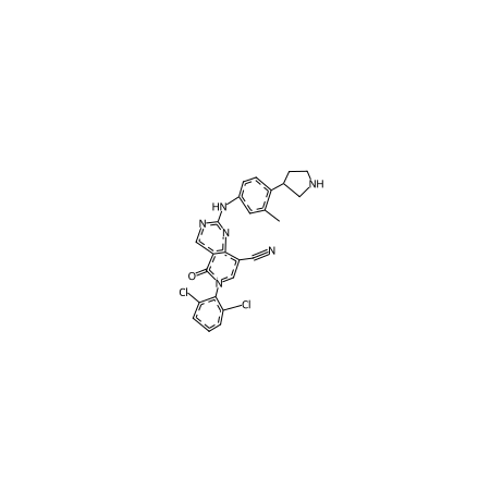 Cc1cc(Nc2ncc3c(=O)n(-c4c(Cl)cccc4Cl)cc(C#N)c3n2)ccc1C1CCNC1